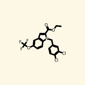 CCOC(=O)c1cc2cc(OC(F)(F)F)ccc2n1Cc1ccc(Cl)c(Cl)c1